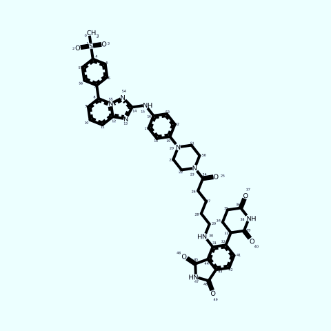 CS(=O)(=O)c1ccc(-c2cccc3nc(Nc4ccc(N5CCN(C(=O)CCCCNc6c(C7CCC(=O)NC7=O)ccc7c6C(=O)NC7=O)CC5)cc4)nn23)cc1